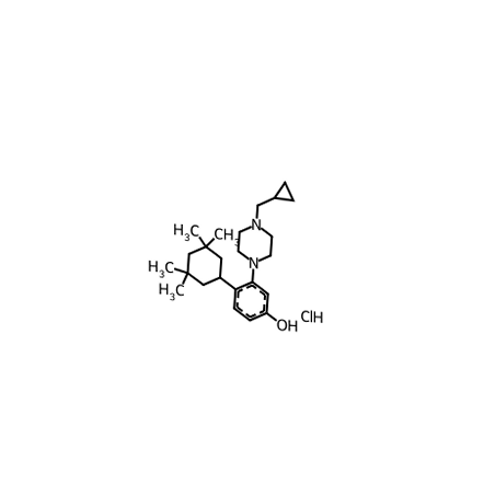 CC1(C)CC(c2ccc(O)cc2N2CCN(CC3CC3)CC2)CC(C)(C)C1.Cl